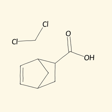 ClCCl.O=C(O)C1CC2C=CC1C2